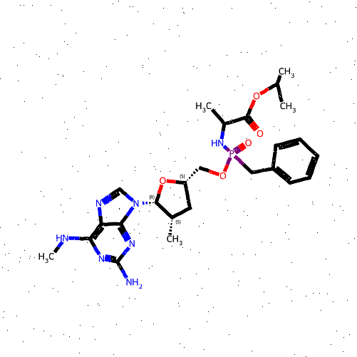 CNc1nc(N)nc2c1ncn2[C@@H]1O[C@H](COP(=O)(Cc2ccccc2)NC(C)C(=O)OC(C)C)C[C@@H]1C